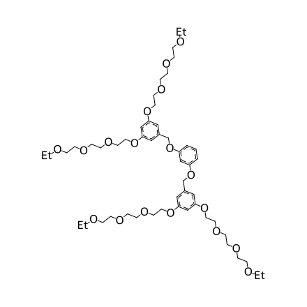 CCOCCOCCOCCOc1cc(COc2cccc(OCc3cc(OCCOCCOCCOCC)cc(OCCOCCOCCOCC)c3)c2)cc(OCCOCCOCCOCC)c1